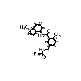 Cn1ncc2c(NC(=O)c3cc(CNC(=O)C(C)(C)C)ccc3C(F)(F)F)cccc21